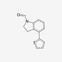 O=[C]N1CCc2c(-c3cccs3)cccc21